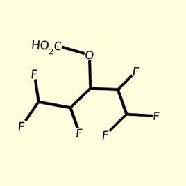 O=C(O)OC(C(F)C(F)F)C(F)C(F)F